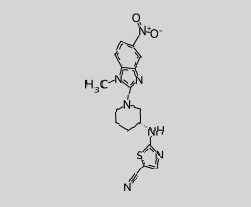 Cn1c(N2CCC[C@@H](Nc3ncc(C#N)s3)C2)nc2cc([N+](=O)[O-])ccc21